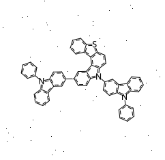 c1ccc(-n2c3ccccc3c3cc(-c4ccc5c(c4)c4c6c(ccc4n5-c4ccc5c(c4)c4ccccc4n5-c4ccccc4)sc4ccccc46)ccc32)cc1